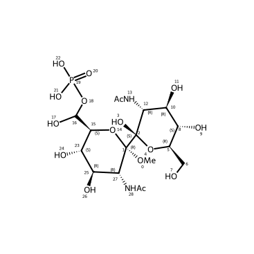 CO[C@@]1([C@@]2(O)O[C@H](CO)[C@@H](O)[C@H](O)[C@H]2NC(C)=O)O[C@H](C(O)OP(=O)(O)O)[C@@H](O)[C@H](O)[C@H]1NC(C)=O